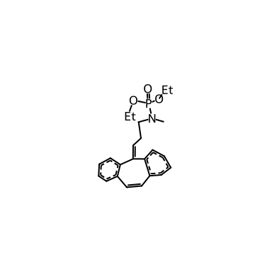 CCOP(=O)(OCC)N(C)CCC=C1c2ccccc2C=Cc2ccccc21